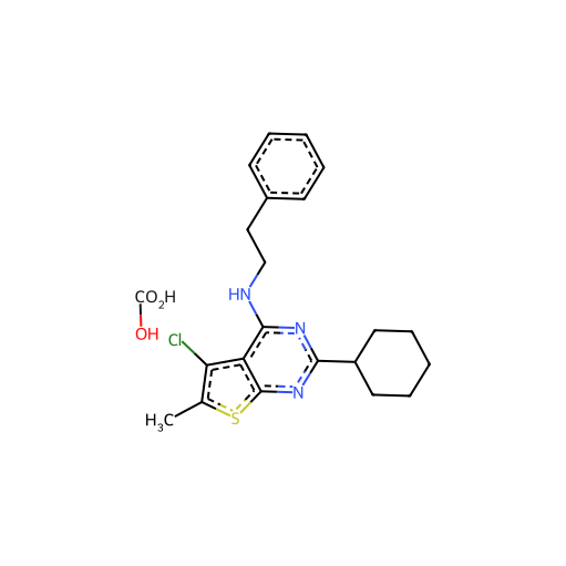 Cc1sc2nc(C3CCCCC3)nc(NCCc3ccccc3)c2c1Cl.O=C(O)O